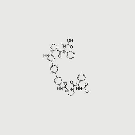 COC(=O)N[C@@H](C(=O)N1CCC[C@H]1c1nc2cc(-c3ccc(-c4c[nH]c([C@@H]5CCCN5C(=O)[C@@H](c5ccccc5)N(C)C(=O)O)n4)cc3)ccc2[nH]1)c1ccccc1